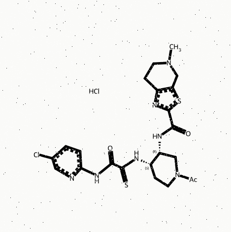 CC(=O)N1CC[C@H](NC(=S)C(=O)Nc2ccc(Cl)cn2)[C@H](NC(=O)c2nc3c(s2)CN(C)CC3)C1.Cl